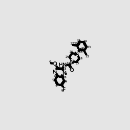 COc1nc2ccc(F)cc2nc1NC(=O)N1CCN(c2c(C)cccc2C)CC1